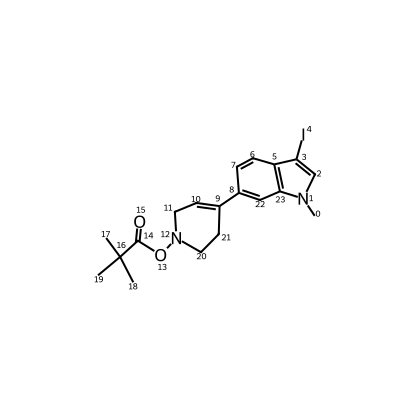 Cn1cc(I)c2ccc(C3=CCN(OC(=O)C(C)(C)C)CC3)cc21